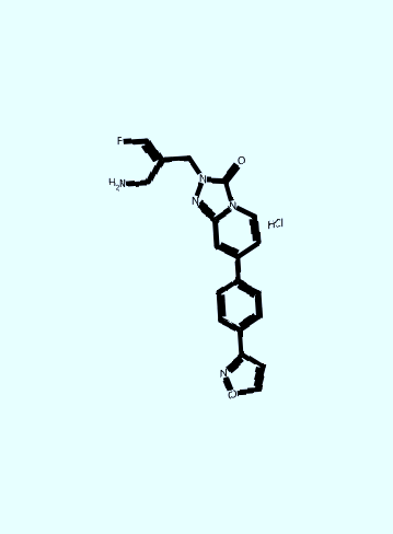 Cl.NC/C(=C\F)Cn1nc2cc(-c3ccc(-c4ccon4)cc3)ccn2c1=O